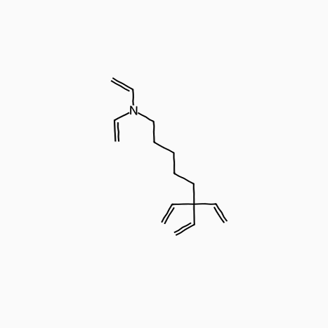 C=CN(C=C)CCCCCC(C=C)(C=C)C=C